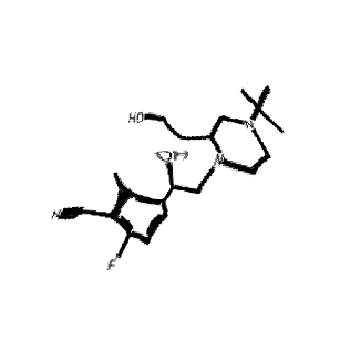 Cc1c(C(O)CN2CCN(C(C)(C)C)CC2CCO)ccc(F)c1C#N